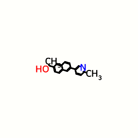 Cc1ccc(-c2ccc3cc(C(C)O)ccc3c2)cn1